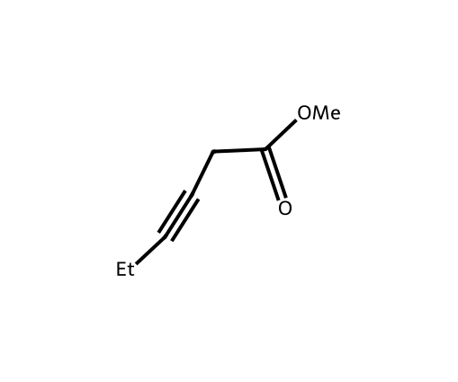 CCC#CCC(=O)OC